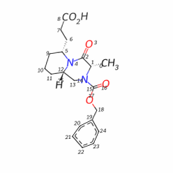 C[C@H]1C(=O)N2[C@@H](CCC(=O)O)CCC[C@H]2CN1C(=O)OCc1ccccc1